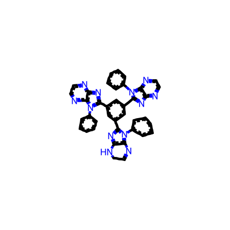 C1=Nc2c(nc(-c3cc(-c4nc5nccnc5n4-c4ccccc4)cc(-c4nc5nccnc5n4-c4ccccc4)c3)n2-c2ccccc2)NC1